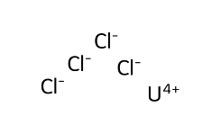 [Cl-].[Cl-].[Cl-].[Cl-].[U+4]